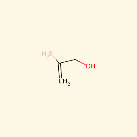 BC(=C)CO